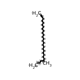 [CH2]C#CCCCCCCCCCCCCCCCCCCCCCC(C)CCC[CH2]